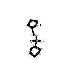 O=S(=O)(N=Cc1ccc[nH]1)c1ccccc1